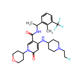 Cc1c(C(C)NC(=O)c2cn(C3CCOCC3)c(=O)cc2NC2CCN(CCF)CC2)cccc1C(F)(F)F